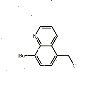 CC(C)(C)c1ccc(CCl)c2cccnc12